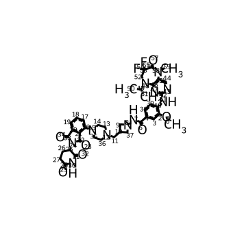 COc1cc(C(=O)NN2CC(CN3CCN(c4cccc5c4C(=O)N(C4CCC(=O)NC4=O)C5=O)CC3)C2)ccc1Nc1ncc2c(n1)N(C(C)C)CC(F)(F)C(=O)N2C